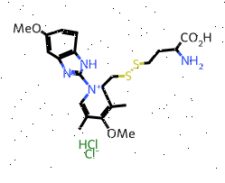 COc1ccc2[nH]c(-[n+]3cc(C)c(OC)c(C)c3CSSCCC(N)C(=O)O)nc2c1.Cl.[Cl-]